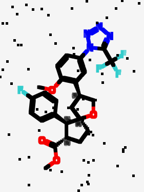 COC(=O)[C@H]1CC[C@@]2(C[C@@H](c3cc(-n4nnnc4C(F)(F)F)ccc3OC)CO2)[C@@H]1c1ccc(F)cc1